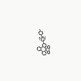 Cc1ccc(-c2ncc(-c3ccc4c(c3)-c3ccccc3-c3ccccc3C43c4ccccc4-c4ccccc43)cn2)cc1